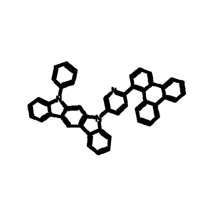 c1ccc(-n2c3ccccc3c3cc4c5ccccc5n(-c5ccc(-c6cccc7c8ccccc8c8ccccc8c67)nc5)c4cc32)cc1